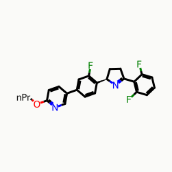 CCCOc1ccc(-c2ccc([C@H]3CCC(c4c(F)cccc4F)=N3)c(F)c2)cn1